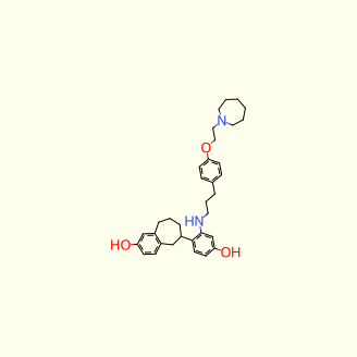 Oc1ccc2c(c1)CCCC(c1ccc(O)cc1NCCCc1ccc(OCCN3CCCCCC3)cc1)C2